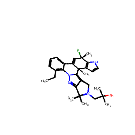 CCc1cccc2c1-n1nc3c(c1C1(C)C2=CC(C)(F)c2[nH]ccc21)CN(CC(C)(C)O)C3(C)C